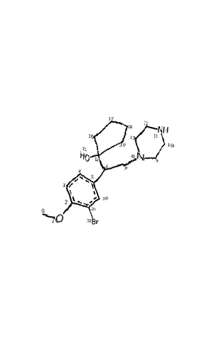 COc1ccc(C(CN2CCNCC2)C2(O)CCCC2)cc1Br